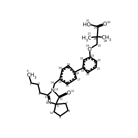 CCCCC1=NC2(CCCC2)C(=O)N1Cc1ccc(-c2cccc(OCC(C)(C)C(=O)O)c2)cc1